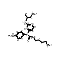 COCCCCNC(=O)N(c1ccc(OC)cc1)c1ccnc(NC(C)COC)n1